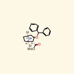 COC(=O)[C@@H]1[C@H]2CC[C@@H](C[C@H]1OC(c1ccccc1)c1ccccc1)N2C